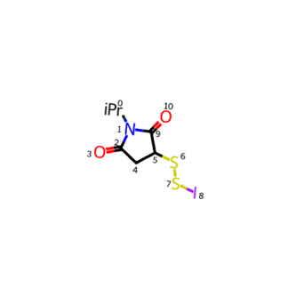 CC(C)N1C(=O)CC(SSI)C1=O